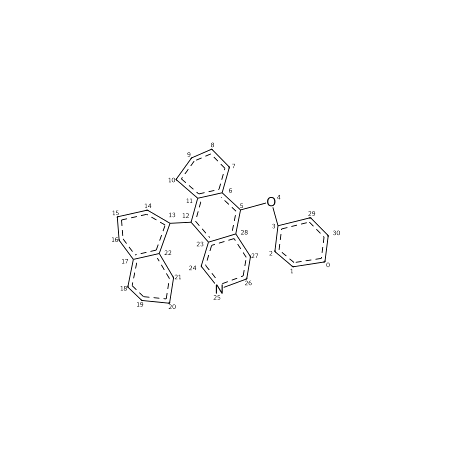 c1ccc(Oc2c3ccccc3c(-c3cccc4ccccc34)c3cnccc23)cc1